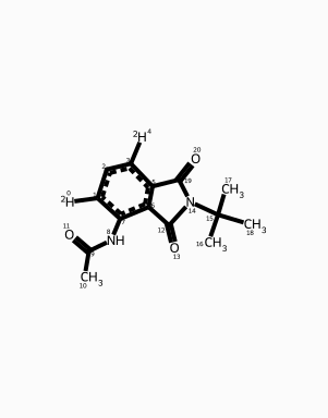 [2H]c1cc([2H])c2c(c1NC(C)=O)C(=O)N(C(C)(C)C)C2=O